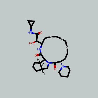 O=C(NC1CC1)C(O)C1CCCCCCCC[C@H](N2CCCCC2)C(=O)N2C[C@@H]3CCC[C@@H]3[C@H]2C(=O)N1